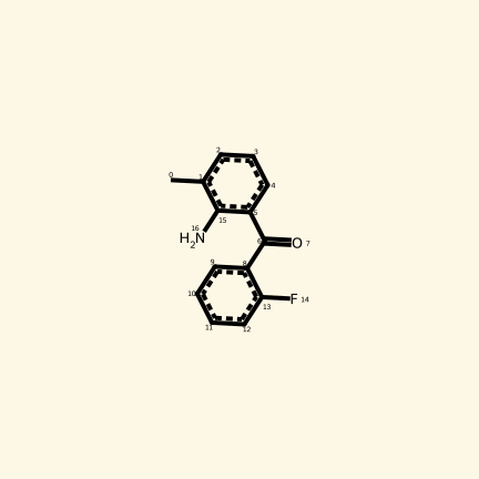 Cc1cccc(C(=O)c2ccccc2F)c1N